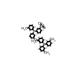 Cc1cccc(P(c2cccc(C)c2)c2cccc(C)c2)c1.Cc1cccc(P(c2cccc(C)c2)c2cccc(C)c2)c1.[Cl][Pd][Cl]